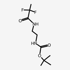 CC(C)(C)OC(=O)NCCNC(=O)C(C)(F)F